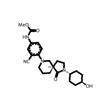 COC(=O)Nc1ccc(N2CCC[C@]3(CCN([C@H]4CC[C@H](O)CC4)C3=O)C2)c(C#N)c1